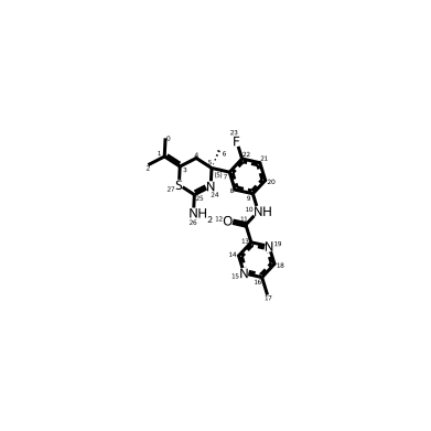 CC(C)=C1C[C@@](C)(c2cc(NC(=O)c3cnc(C)cn3)ccc2F)N=C(N)S1